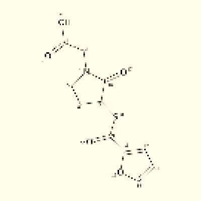 O=C(O)CN1CCC(SC(=O)c2ccco2)C1=O